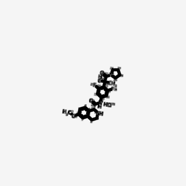 COc1ccc2c(c1)CCN[C@H]2C(=O)Nc1cc(F)c(C(C)(C)C(=O)N2CCCC2)c(F)c1.Cl